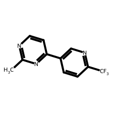 Cc1nccc(-c2ccc(C(F)(F)F)nc2)n1